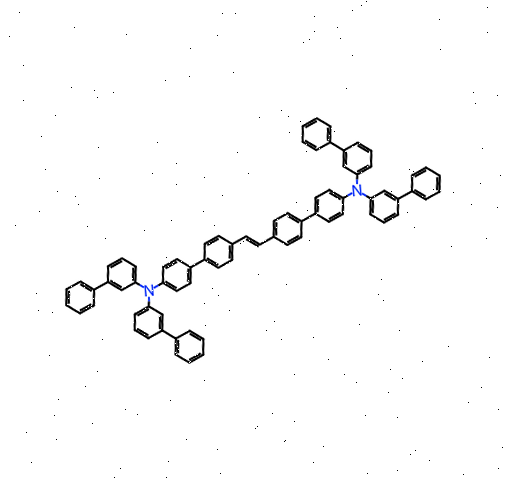 C(=C\c1ccc(-c2ccc(N(c3cccc(-c4ccccc4)c3)c3cccc(-c4ccccc4)c3)cc2)cc1)/c1ccc(-c2ccc(N(c3cccc(-c4ccccc4)c3)c3cccc(-c4ccccc4)c3)cc2)cc1